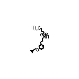 C=CCCS(=O)(=O)NCCCc1cccc(OCC2CC2)c1